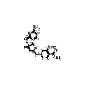 CNC1=C(C(N)=O)CCN(CC2CC(F)(F)[C@H](n3ccc(N)nc3=O)O2)C1